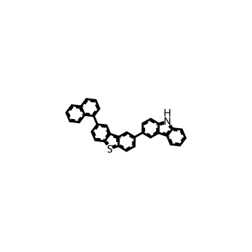 c1ccc2c(-c3ccc4sc5ccc(-c6ccc7[nH]c8ccccc8c7c6)cc5c4c3)cccc2c1